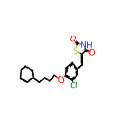 O=C1NC(=O)/C(=C/c2ccc(OCCCCC3CCCCC3)c(Cl)c2)S1